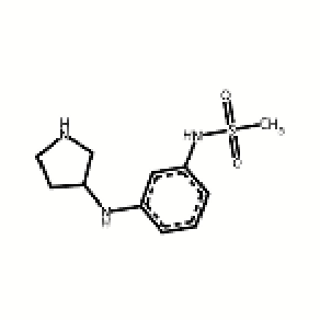 CS(=O)(=O)Nc1cccc(NC2CCNC2)c1